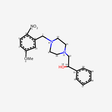 COc1ccc([N+](=O)[O-])c(CN2CCN(CC(O)c3ccccc3)CC2)c1